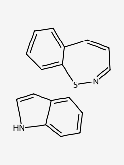 C1=Cc2ccccc2SN=C1.c1ccc2[nH]ccc2c1